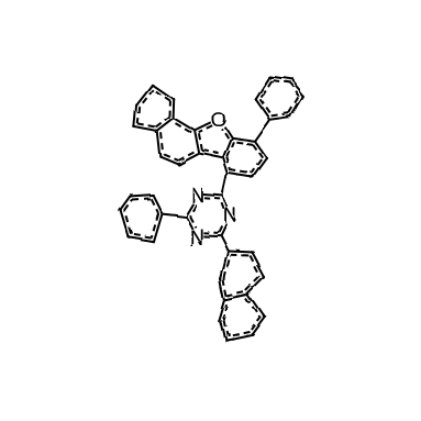 c1ccc(-c2nc(-c3ccc4ccccc4c3)nc(-c3ccc(-c4ccccc4)c4oc5c6ccccc6ccc5c34)n2)cc1